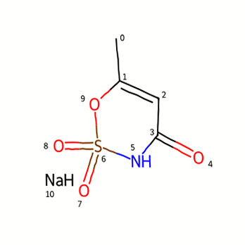 CC1=CC(=O)NS(=O)(=O)O1.[NaH]